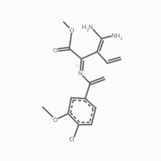 C=CC(=C(N)N)/C(=N\C(=C)c1ccc(Cl)c(OC)c1)C(=O)OC